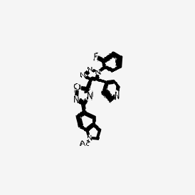 CC(=O)N1CCc2cc(-c3noc(-c4nnn(-c5ccccc5F)c4-c4ccncc4)n3)ccc21